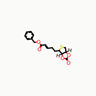 O=C(/C=C/CCC1SC[C@@H]2OC(=O)O[C@H]12)OCc1ccccc1